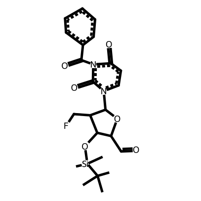 CC(C)(C)[Si](C)(C)OC1C(C=O)OC(n2ccc(=O)n(C(=O)c3ccccc3)c2=O)C1CF